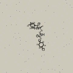 C=C(CCNC(=O)COc1ccc(Cl)cc1)NC(=O)c1cnc(C)cn1